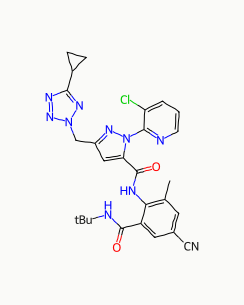 Cc1cc(C#N)cc(C(=O)NC(C)(C)C)c1NC(=O)c1cc(Cn2nnc(C3CC3)n2)nn1-c1ncccc1Cl